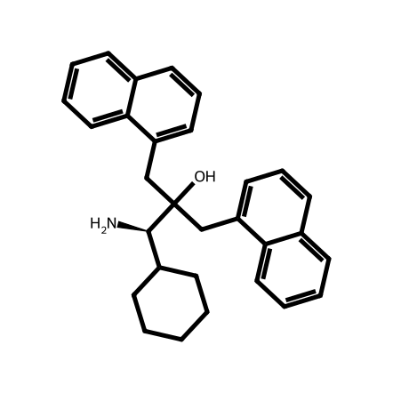 N[C@H](C1CCCCC1)C(O)(Cc1cccc2ccccc12)Cc1cccc2ccccc12